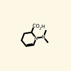 CN(C)N1C=CCCC1C(=O)O